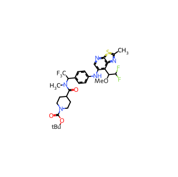 COC(c1c(Nc2ccc(C(N(C)C(=O)C3CCN(C(=O)OC(C)(C)C)CC3)C(F)(F)F)cc2)cnc2sc(C)nc12)C(F)F